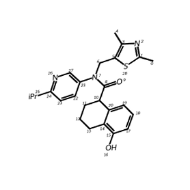 Cc1nc(C)c(CN(C(=O)C2CCCc3c(O)cccc32)c2ccc(C(C)C)nc2)s1